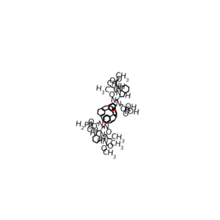 COC(=O)NC(C(=O)N1[C@H](c2nc3cc(C4=C5CCC(=C4)CCC=Cc4ccc(cc4-c4ccc6c(c4)nc([C@@H]4C[C@@H]7CCCC[C@@H]7N4C(=O)C(NC(=O)OC)C(C)C)n6COP(=O)(O)P)CC5)ccc3n2COP(=O)(O)O)C[C@@H]2CCCC[C@@H]21)C(C)C